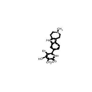 CCc1c(-c2ccc3c4c([nH]c3c2)CCN(C)CC4)[nH]c(=O)c(C(=O)O)c1O